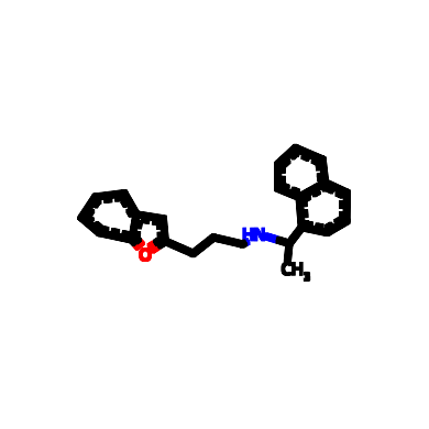 CC(NCCCc1cc2ccccc2o1)c1cccc2ccccc12